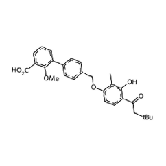 COc1c(C(=O)O)cccc1-c1ccc(COc2ccc(C(=O)CC(C)(C)C)c(O)c2C)cc1